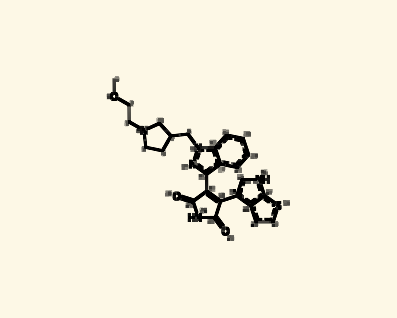 COCCN1CCC(Cn2nc(C3=C(c4c[nH]c5sccc45)C(=O)NC3=O)c3ccccc32)C1